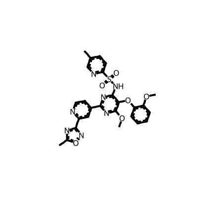 COc1ccccc1Oc1c(NS(=O)(=O)c2ccc(C)cn2)nc(-c2ccnc(-c3noc(C)n3)c2)nc1OC